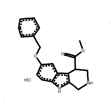 COC(=O)C1CNCc2[nH]c3ccc(OCc4ccccc4)cc3c21.Cl